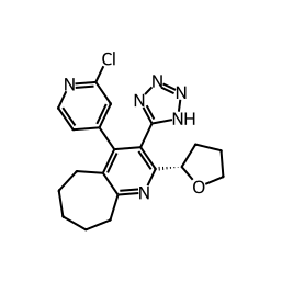 Clc1cc(-c2c3c(nc([C@@H]4CCCO4)c2-c2nnn[nH]2)CCCCC3)ccn1